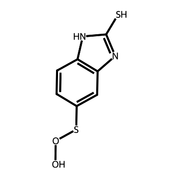 OOSc1ccc2[nH]c(S)nc2c1